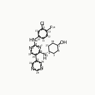 O[C@H]1CC[C@H](Nc2nc(Nc3ccc(F)c(Cl)c3)ncc2-c2cncnc2)CC1